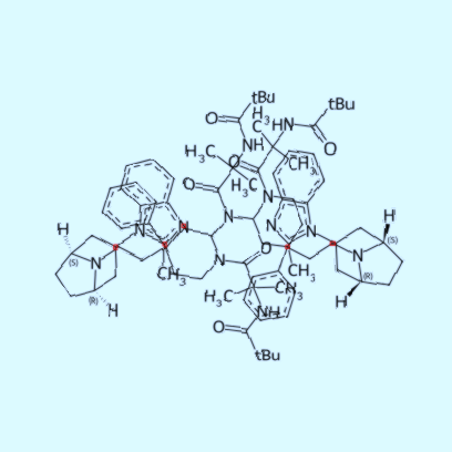 Cc1nc2ccccc2n1C1C[C@H]2CC[C@@H](C1)N2CCC1(c2ccccc2)CCN(C(=O)C(C)(C)NC(=O)C(C)(C)C)C(N(C(=O)C(C)(C)NC(=O)C(C)(C)C)C2CC(CCN3[C@@H]4CC[C@H]3CC(n3c(C)nc5ccccc53)C4)(c3ccccc3)CCN2C(=O)C(C)(C)NC(=O)C(C)(C)C)C1